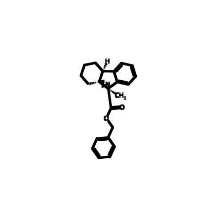 C[C@]12c3ccccc3[C@@H]3CCCC[C@@]31CCN2C(=O)OCc1ccccc1